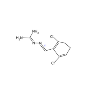 NC(N)=N/N=C/C1=C(Cl)CCC=C1Cl